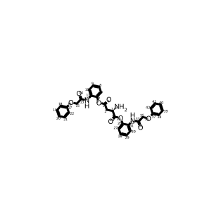 N[C@@H](CC(=O)Oc1ccccc1NC(=O)COc1ccccc1)C(=O)Oc1ccccc1NC(=O)COc1ccccc1